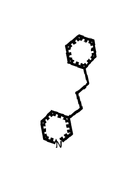 c1ccc(CCCc2cccnc2)cc1